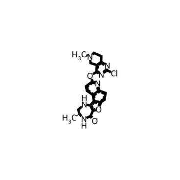 C[C@@H]1CNc2c(oc3ccc4nc(Oc5nc(Cl)nc6c5CN(C)CC6)ccc4c23)C(=O)N1